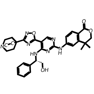 CC1(C)COC(=O)c2ccc(Nc3ncc(-c4nc(C56CCN(CC5)CC6)no4)c(N[C@H](CO)c4ccccc4)n3)cc21